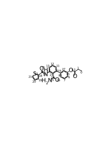 CCC(=O)Oc1cccc(-c2cccc(NC(=O)c3cccs3)c2C(N)=O)c1